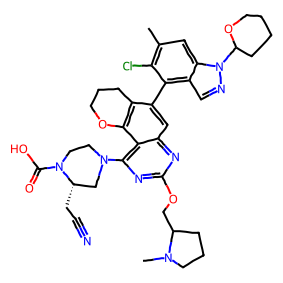 Cc1cc2c(cnn2C2CCCCO2)c(-c2cc3nc(OCC4CCCN4C)nc(N4CCN(C(=O)O)[C@@H](CC#N)C4)c3c3c2CCCO3)c1Cl